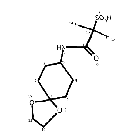 O=C(NC1CCC2(CC1)OCCO2)C(F)(F)S(=O)(=O)O